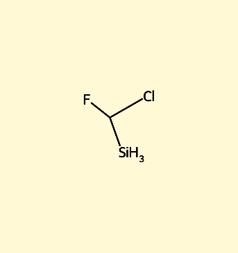 FC([SiH3])Cl